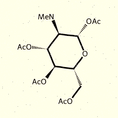 CN[C@H]1[C@H](OC(C)=O)O[C@H](COC(C)=O)[C@@H](OC(C)=O)[C@@H]1OC(C)=O